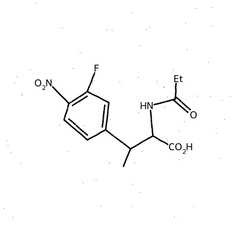 CCC(=O)NC(C(=O)O)C(C)c1ccc([N+](=O)[O-])c(F)c1